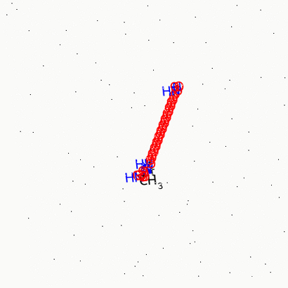 CCN(Cc1nnc(-c2cccc(NC(=O)CCOCCOCCOCCOCCOCCOCCOCCOCCOCCOCCOCCOCCOCCOCCOCCOCCOCCOCCOCCOCCOCCOCCOCCOCCNC(=O)CCN3C(=O)C=CC3=O)c2)nn1)C(=O)Oc1ccc(COC(=O)Nc2ccc3c(C)cc(=O)oc3c2)cc1